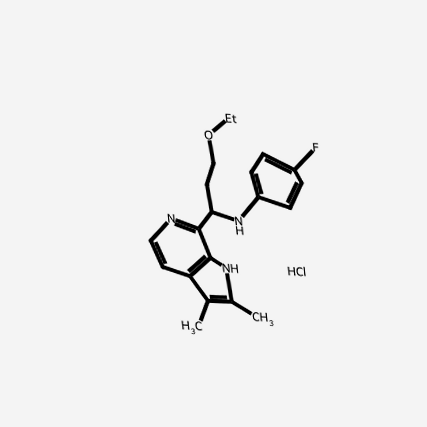 CCOCCC(Nc1ccc(F)cc1)c1nccc2c(C)c(C)[nH]c12.Cl